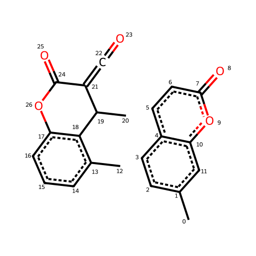 Cc1ccc2ccc(=O)oc2c1.Cc1cccc2c1C(C)C(=C=O)C(=O)O2